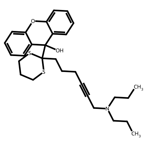 CCCN(CC#CCCCC1(C2(O)c3ccccc3Oc3ccccc32)SCCCS1)CCC